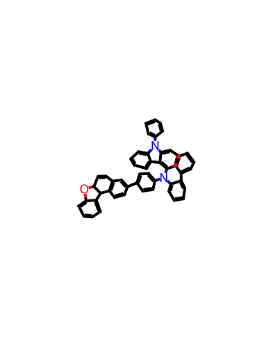 C1=CC2Oc3ccccc3C2c2ccc(-c3ccc(N(c4ccccc4-c4ccccc4)c4cccc5c4c4ccccc4n5-c4ccccc4)cc3)cc21